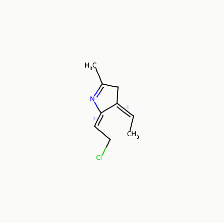 C/C=C1/CC(C)=N/C1=C/CCl